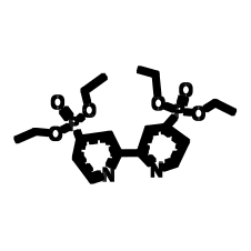 CCOP(=O)(OCC)c1ccnc(-c2cc(P(=O)(OCC)OCC)ccn2)c1